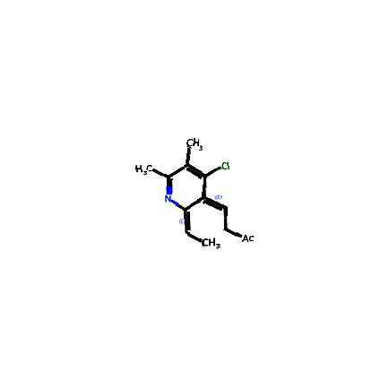 C/C=c1/nc(C)c(C)c(Cl)/c1=C/CC(C)=O